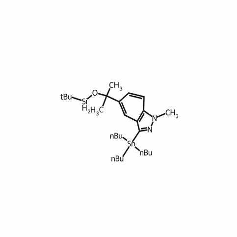 CCC[CH2][Sn]([CH2]CCC)([CH2]CCC)[c]1nn(C)c2ccc(C(C)(C)O[SiH2]C(C)(C)C)cc12